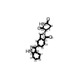 O=C1CCC(N2Cc3cc(-c4n[nH]c5ccccc45)ccc3C2=O)C(=O)N1